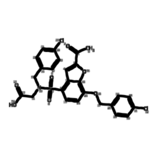 CC(=O)c1cc2c(S(=O)(=O)N(CC(=O)O)Cc3ccc(Cl)cc3)ccc(OCc3ccc(Cl)cc3)c2o1